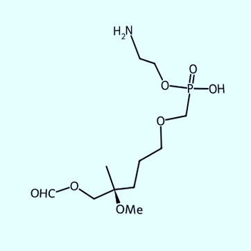 CO[C@@](C)(CCCOCP(=O)(O)OCCN)COC=O